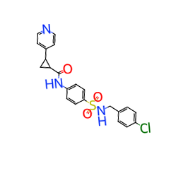 O=C(Nc1ccc(S(=O)(=O)NCc2ccc(Cl)cc2)cc1)C1CC1c1ccncc1